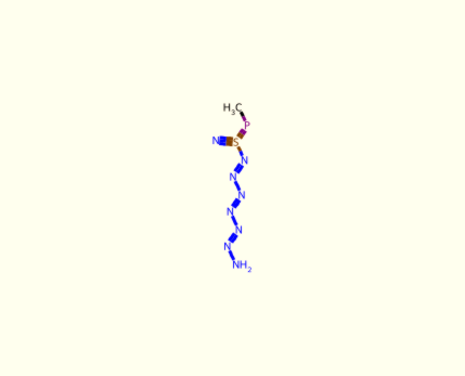 CP=S(#N)N=NN=NN=NN